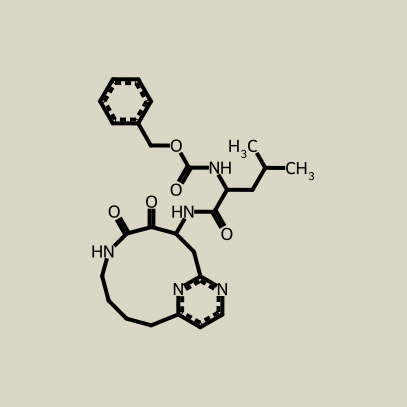 CC(C)CC(NC(=O)OCc1ccccc1)C(=O)NC1Cc2nccc(n2)CCCCNC(=O)C1=O